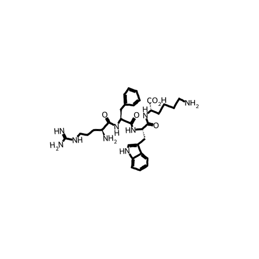 N=C(N)NCCC[C@H](N)C(=O)N[C@@H](Cc1ccccc1)C(=O)N[C@@H](Cc1c[nH]c2ccccc12)C(=O)N[C@@H](CCCCN)C(=O)O